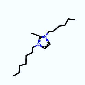 CCCCCCC[n+]1ccn(CCCCCC)c1C